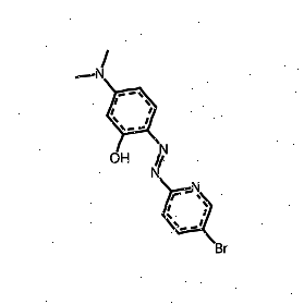 CN(C)c1ccc(N=Nc2ccc(Br)cn2)c(O)c1